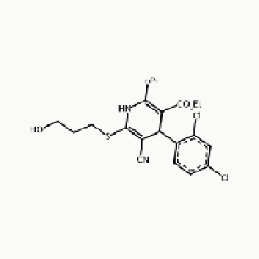 CCCC1=C(C(=O)OCC)C(c2ccc(Cl)cc2Cl)C(C#N)=C(SCCCO)N1